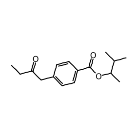 CCC(=O)Cc1ccc(C(=O)OC(C)C(C)C)cc1